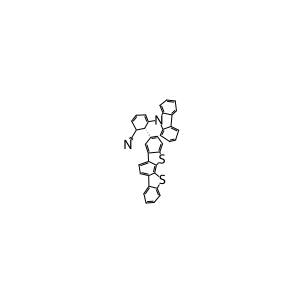 N#CC1C=CC=C(n2c3ccccc3c3ccccc32)[C@@H]1c1ccc2sc3c(ccc4c5ccccc5sc43)c2c1